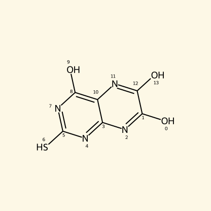 Oc1nc2nc(S)nc(O)c2nc1O